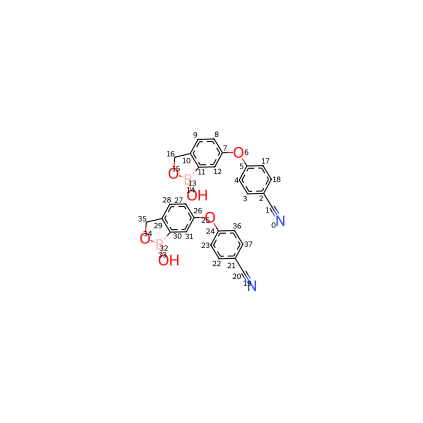 N#Cc1ccc(Oc2ccc3c(c2)B(O)OC3)cc1.N#Cc1ccc(Oc2ccc3c(c2)B(O)OC3)cc1